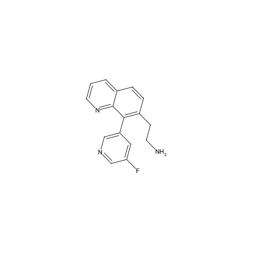 NCCc1ccc2cccnc2c1-c1cncc(F)c1